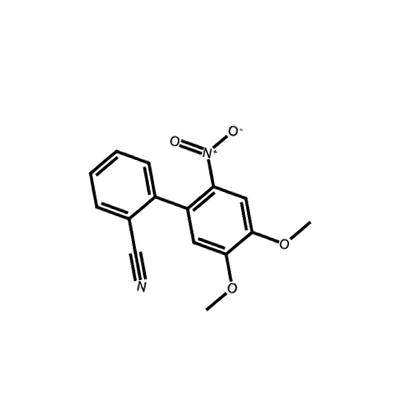 COc1cc(-c2ccccc2C#N)c([N+](=O)[O-])cc1OC